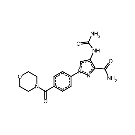 NC(=O)Nc1cn(-c2ccc(C(=O)N3CCOCC3)cc2)nc1C(N)=O